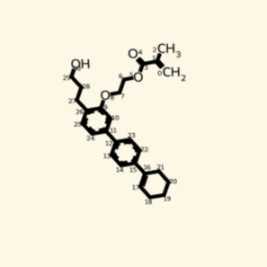 C=C(C)C(=O)OCCOc1cc(-c2ccc(C3=CCCCC3)cc2)ccc1CCCO